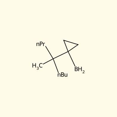 BC1(C(C)(CCC)CCCC)CC1